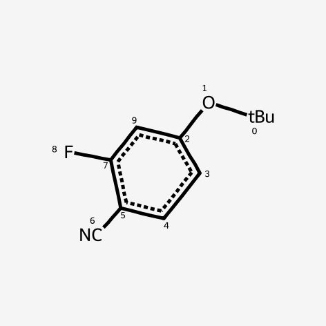 CC(C)(C)Oc1ccc(C#N)c(F)c1